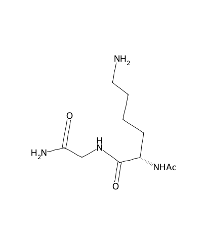 CC(=O)N[C@@H](CCCCN)C(=O)NCC(N)=O